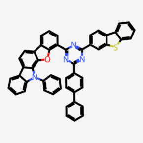 c1ccc(-c2ccc(-c3nc(-c4ccc5c(c4)sc4ccccc45)nc(-c4cccc5c4oc4c5ccc5c6ccccc6n(-c6ccccc6)c54)n3)cc2)cc1